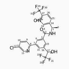 C[C@@H](NC(=O)c1cc(-c2ccc(Cl)cn2)cc(C(O)C(F)(F)F)c1)c1ccc(C(F)(F)F)[n+]([O-])c1